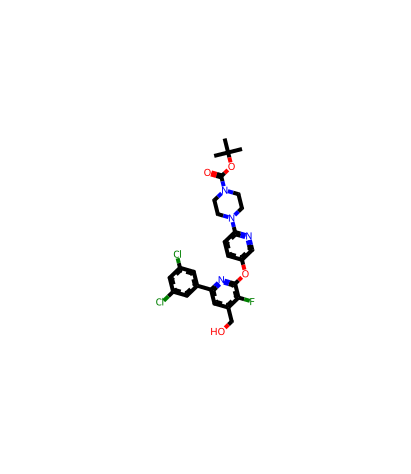 CC(C)(C)OC(=O)N1CCN(c2ccc(Oc3nc(-c4cc(Cl)cc(Cl)c4)cc(CO)c3F)cn2)CC1